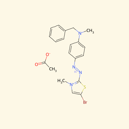 CC(=O)[O-].CN(Cc1ccccc1)c1ccc(/N=N/c2sc(Br)c[n+]2C)cc1